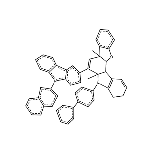 CC12C=C(c3ccc4c(c3)c3ccccc3n4-c3ccc4ccccc4c3)C3(C)C(C4=C(CCC=C4)N3c3ccc(-c4ccccc4)cc3)C1Oc1ccccc12